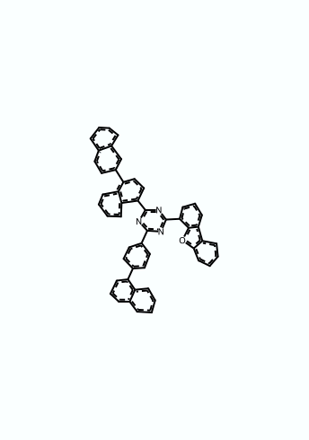 c1ccc2cc(-c3ccc(-c4nc(-c5ccc(-c6cccc7ccccc67)cc5)nc(-c5cccc6c5oc5ccccc56)n4)c4ccccc34)ccc2c1